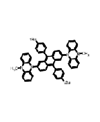 CN1c2ccccc2N(c2ccc3c(-c4ccc(C(C)(C)C)cc4)c4cc(N5c6ccccc6N(C)c6ccccc65)ccc4c(-c4ccc(C(C)(C)C)cc4)c3c2)c2ccccc21